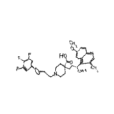 COc1ccc2ncc(C)c(C(O)CCC3(C(=O)O)CCN(CCOc4cc(F)c(F)c(F)c4)CC3)c2c1